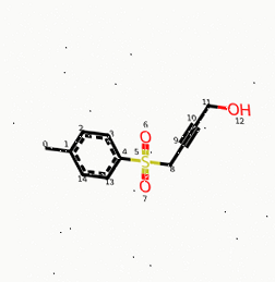 Cc1ccc(S(=O)(=O)CC#CCO)cc1